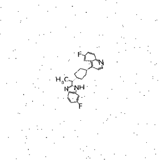 CC(c1nc2ccc(F)cc2[nH]1)[C@H]1CC[C@H](c2ccnc3ccc(F)cc32)CC1